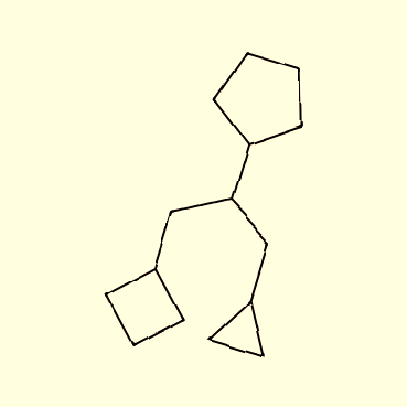 C1CC(CC(CC2CC2)C2CCCC2)C1